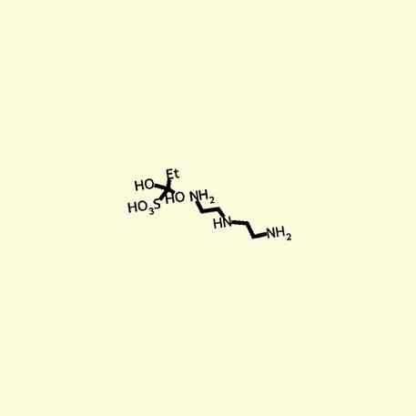 CCC(O)(O)S(=O)(=O)O.NCCNCCN